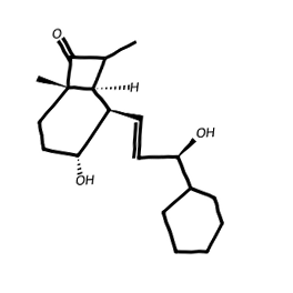 CC1C(=O)[C@@]2(C)CC[C@@H](O)[C@H](/C=C/[C@@H](O)C3CCCCC3)[C@H]12